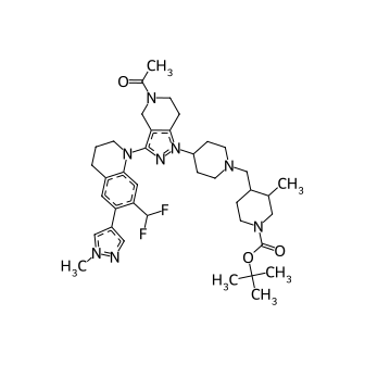 CC(=O)N1CCc2c(c(N3CCCc4cc(-c5cnn(C)c5)c(C(F)F)cc43)nn2C2CCN(CC3CCN(C(=O)OC(C)(C)C)CC3C)CC2)C1